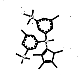 CC1=C(C)C(C)C([Si](C)(c2cc(C)cc([Si](C)(C)C)c2)c2cc(C)cc([Si](C)(C)C)c2)=C1C